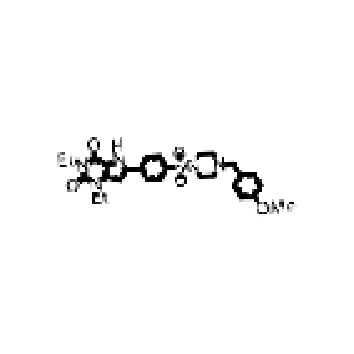 CCn1c(=O)c2[nH]c(-c3ccc(S(=O)(=O)N4CCN(Cc5ccc(OC)cc5)CC4)cc3)cc2n(CC)c1=O